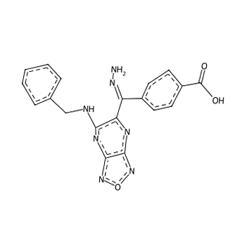 NN=C(c1ccc(C(=O)O)cc1)c1nc2nonc2nc1NCc1ccccc1